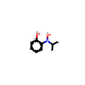 CC(C)N(O)c1ccccc1O